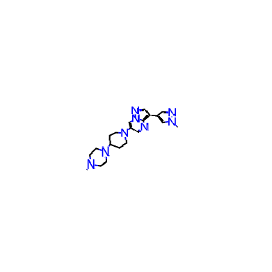 CN1CCN(C2CCN(c3cnc4c(-c5cnn(C)c5)cnn4c3)CC2)CC1